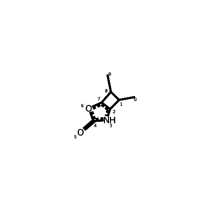 CC1c2[nH]c(=O)oc2C1C